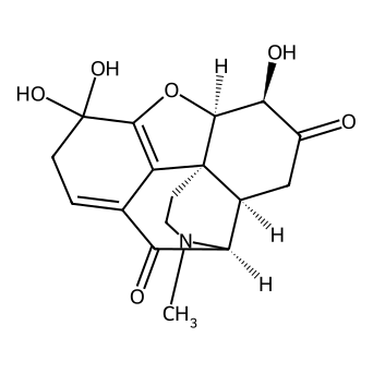 CN1CC[C@]23C4=C5O[C@H]2[C@@H](O)C(=O)C[C@H]3[C@H]1C(=O)C4=CCC5(O)O